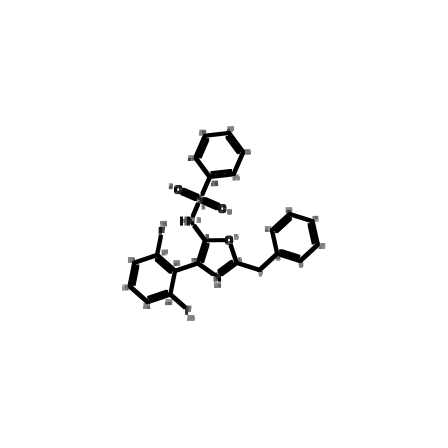 O=S(=O)(Nc1oc(Cc2ccccc2)nc1-c1c(F)cccc1F)c1ccccc1